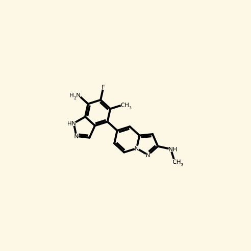 CNc1cc2cc(-c3c(C)c(F)c(N)c4[nH]ncc34)ccn2n1